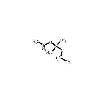 C[SiH2]O[Si](C)(C)O[SiH2]C